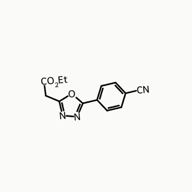 CCOC(=O)Cc1nnc(-c2ccc(C#N)cc2)o1